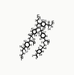 C=C(C)c1ccc(C(C)(C)CCC(CF)c2ccc(C(C)(C)CC(CC(CCF)c3ccc(C(C)(C)CF)cc3)c3ccc(C(C)(C)CC(CF)c4ccc(C(C)(C)CCCF)cc4)cc3)cc2)cc1